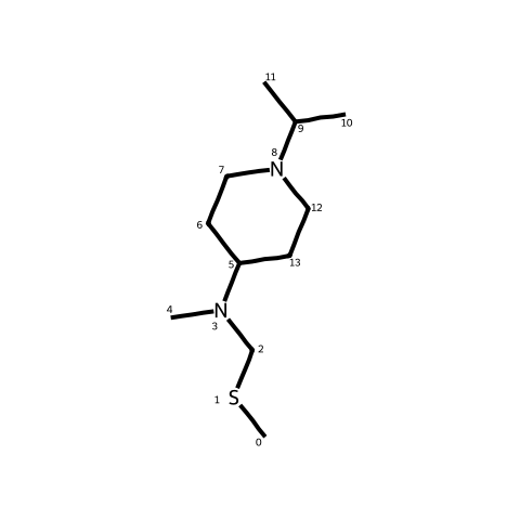 CSCN(C)C1CCN(C(C)C)CC1